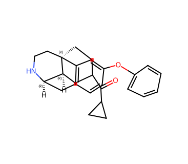 O=C(C1CC1)C1CC[C@]23CCN[C@H](Cc4ccc(Oc5ccccc5)cc42)[C@@H]3C1